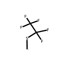 [CH2]SC(F)(F)C(F)(F)F